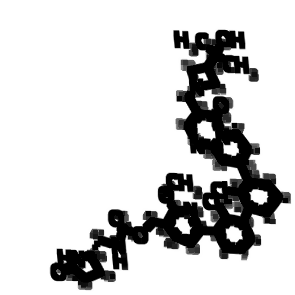 COc1nc(-c2cccc(-c3cccc(-c4ccn5c(=O)c(CN6CC(C(C)(C)O)C6)cnc5c4)c3Cl)c2Cl)ccc1COC(=O)NC[C@@H]1CCC(=O)N1